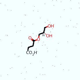 O=C(O)CCC(=O)OC[C@@H](O)CO